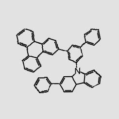 C1=CC2c3ccccc3N(c3cc(-c4ccccc4)cc(-c4ccc5c6ccccc6c6ccccc6c5c4)c3)C2C=C1c1ccccc1